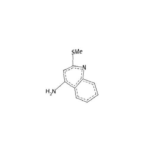 CSc1cc(N)c2ccccc2n1